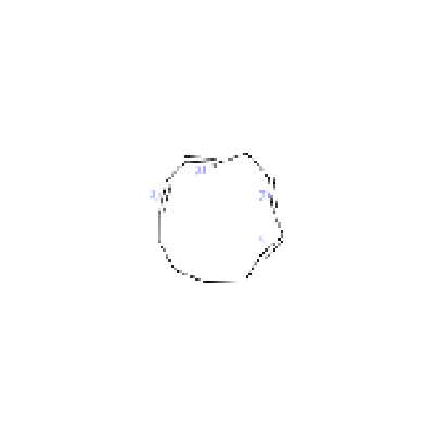 [C]1=C/C=C\CCCC/C=C/C=C/C/1